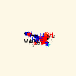 COC(=O)N[C@H](C(=O)N[C@@H](Cc1ccc(C#Cc2cnc(N3CC4CCC(C3)N4C3COC3)nc2)cc1)[C@H](CN(Cc1c(F)cc(-c2ccn(C(F)F)n2)cc1F)NC(=O)[C@@H](NC(=O)OC)C(C)(C)C(F)(F)F)OC(=O)CC(C)(C)c1c(CC(=O)N2CCC[C@@H]2C(=O)O)cc(C)cc1OP(=O)(O)O)C(C)(C)C(F)(F)F